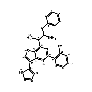 NC(Cc1ccccc1)C(N)c1nc(-c2ccncc2F)nc2c(-c3ccc[nH]3)csc12